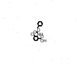 O=C(Nc1c(Cl)cccc1C(=O)O)OCc1ccccc1